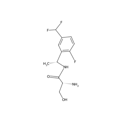 C[C@@H](NC(=O)[C@H](N)CO)c1cc(C(F)F)ccc1F